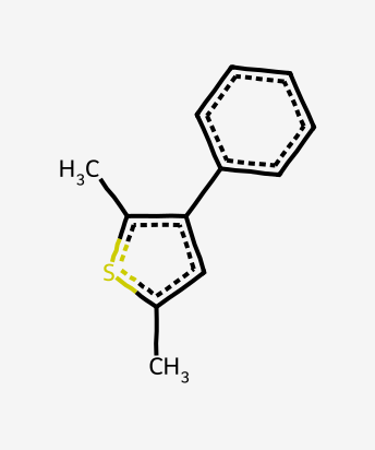 Cc1cc(-c2ccccc2)c(C)s1